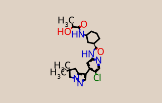 CC(O)C(=O)NC1CCC[C@@H](C(=O)Nc2cc(-c3cnn4c3CC(C)(C)C4)c(Cl)cn2)C1